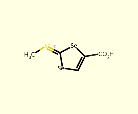 C/[S+]=c1\[se]cc(C(=O)O)[se]1